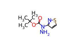 CC(C)(C)OC(=O)N(N)c1ccsn1